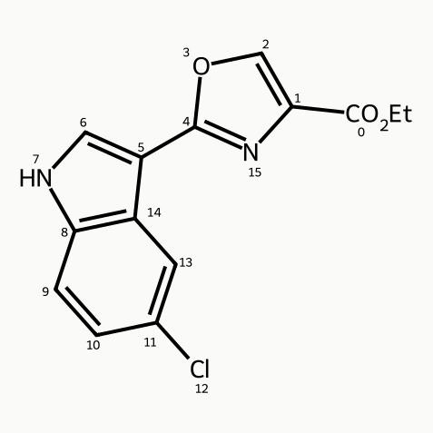 CCOC(=O)c1coc(-c2c[nH]c3ccc(Cl)cc23)n1